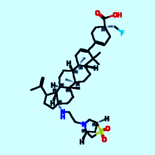 C=C(C)C1CC[C@]2(NCCN3C[C@@H]4C[C@@H]3CS4(=O)=O)CC[C@]3(C)[C@H](CC[C@@H]4[C@@]5(C)CC=C(C6=CC[C@](CF)(C(=O)O)CC6)C(C)(C)[C@@H]5CC[C@]43C)[C@@H]12